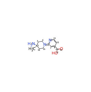 CC1(N)CCN(c2cc(C(=O)O)ccn2)CC1